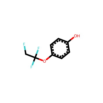 Oc1ccc(OC(F)(F)CF)cc1